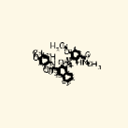 CCOc1ccc(C(=O)NC)cc1/N=N/c1c(O)c(C(=O)Nc2ccc(OC)cc2C)cc2ccccc12